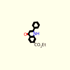 CCOC(=O)c1ccc2c(=O)cc(-c3ccccc3)[nH]c2c1